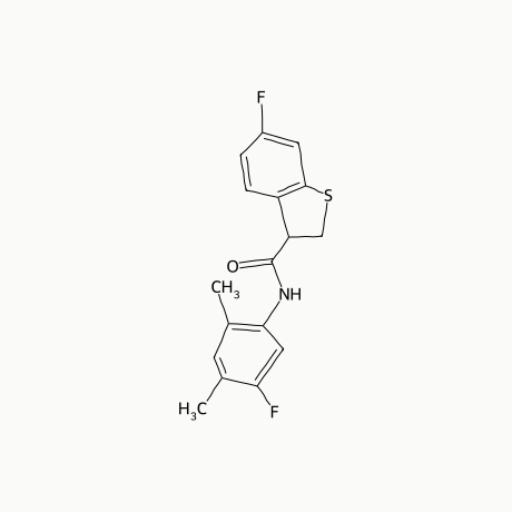 Cc1cc(C)c(NC(=O)C2CSc3cc(F)ccc32)cc1F